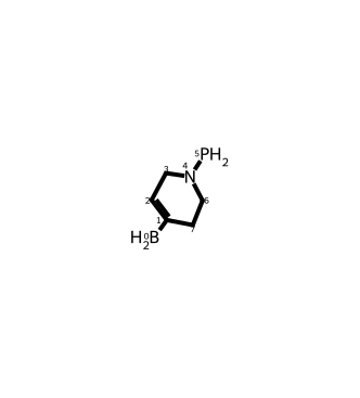 BC1=CCN(P)CC1